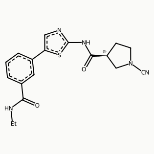 CCNC(=O)c1cccc(-c2cnc(NC(=O)[C@H]3CCN(C#N)C3)s2)c1